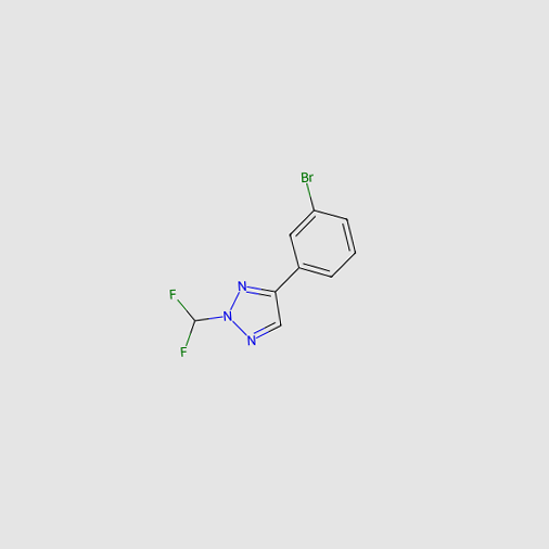 FC(F)n1ncc(-c2cccc(Br)c2)n1